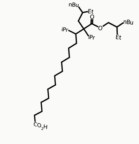 CCCCC(CC)COC(=O)C(CC(CC)CCCC)(C(C)C)C(CCCCCCCCCCCCC(=O)O)C(C)C